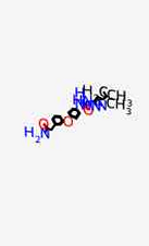 CC(C)(C)c1cc(NC(=O)Nc2ccc(Oc3cccc(CC(N)=O)c3)cc2)[nH]n1